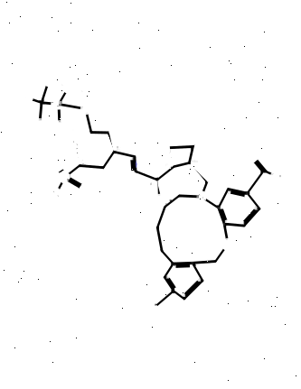 CC(C)(C)[Si](C)(C)OCC[C@@H](/C=C/[C@H](O)[C@@H]1CC[C@H]1CN1CCCCc2cc(Cl)ccc2COc2ccc(C(=O)O)cc21)C[C@@H](N)S(N)(=O)=O